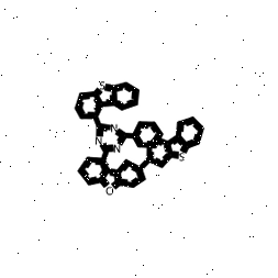 c1ccc(-c2nc(-c3cccc4oc5ccc(-c6ccc7c(c6)sc6ccccc67)cc5c34)nc(-c3cccc4sc5ccccc5c34)n2)cc1